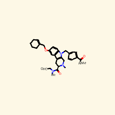 CCCN(CC=O)C(=O)C1Cc2c(n(Cc3ccc(C(=O)NC)cc3)c3ccc(OCC4=CCCCC4)cc23)CN1C